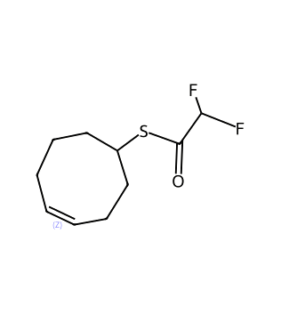 O=C(SC1CC/C=C\CCC1)C(F)F